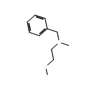 CN(CCNN)Cc1ccccc1